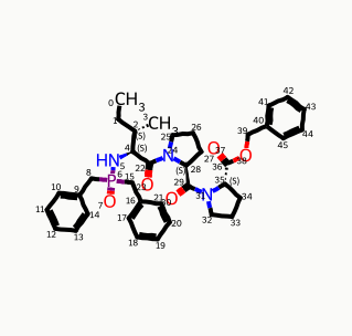 CC[C@H](C)[C@H](NP(=O)(Cc1ccccc1)Cc1ccccc1)C(=O)N1CCC[C@H]1C(=O)N1CCC[C@H]1C(=O)OCc1ccccc1